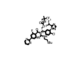 CC(C)(C)CCNC(=N)N(C(=O)c1ccc(-c2ncccn2)cc1F)[C@H](COC(=O)NC(C)(C)C(F)(F)F)c1ccc(Cl)c(-n2ncnc2C(F)F)c1